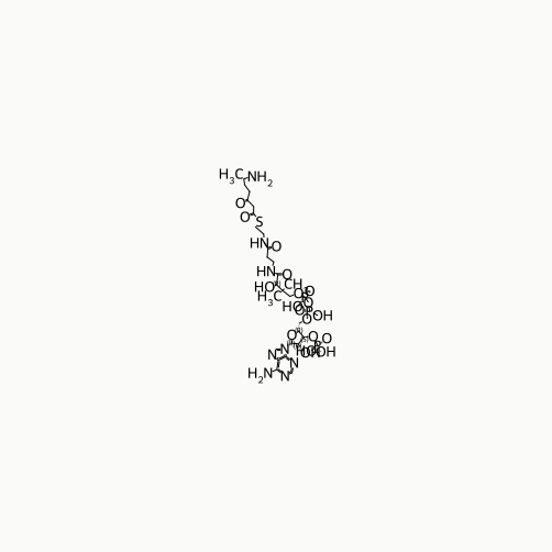 CC(N)CCC(=O)CC(=O)SCCNC(=O)CCNC(=O)[C@H](O)C(C)(C)COP(=O)(O)OP(=O)(O)OC[C@H]1O[C@@H](n2cnc3c(N)ncnc32)[C@H](O)[C@@H]1OP(=O)(O)O